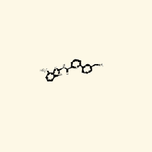 NCc1cccc(-c2cccc(C(=O)Nc3nc4c(C(=O)O)cccc4[nH]3)n2)c1